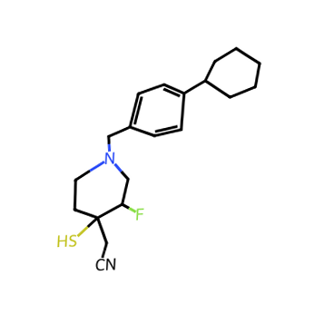 N#CCC1(S)CCN(Cc2ccc(C3CCCCC3)cc2)CC1F